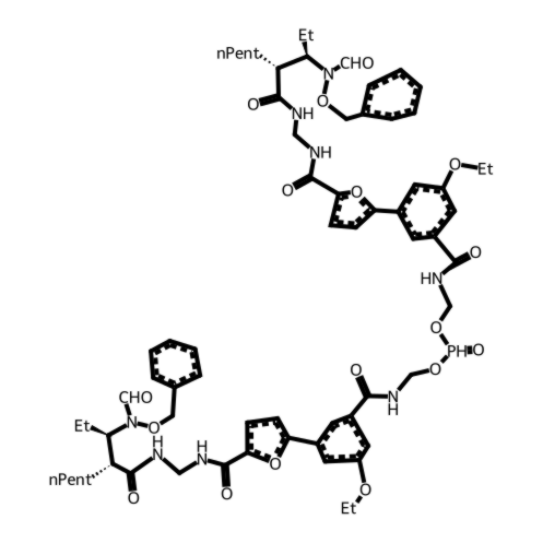 CCCCC[C@@H](C(=O)NCNC(=O)c1ccc(-c2cc(OCC)cc(C(=O)NCO[PH](=O)OCNC(=O)c3cc(OCC)cc(-c4ccc(C(=O)NCNC(=O)[C@H](CCCCC)[C@@H](CC)N(C=O)OCc5ccccc5)o4)c3)c2)o1)[C@@H](CC)N(C=O)OCc1ccccc1